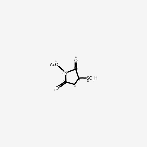 CC(=O)ON1C(=O)CC(S(=O)(=O)O)C1=O